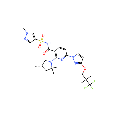 C[C@@H]1CN(c2nc(-n3ccc(OCC(C)(C)C(F)(F)F)n3)ccc2C(=O)NS(=O)(=O)c2cnn(C)c2)C(C)(C)C1